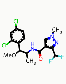 COC(c1ccc(Cl)cc1Cl)C(C)NC(=O)c1cn(C)nc1C(F)F